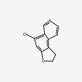 Clc1cc2c(c3ccncc13)CCO2